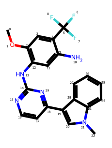 COc1cc(C(F)(F)F)c(N)cc1Nc1nccc(-c2cn(C)c3ccccc23)n1